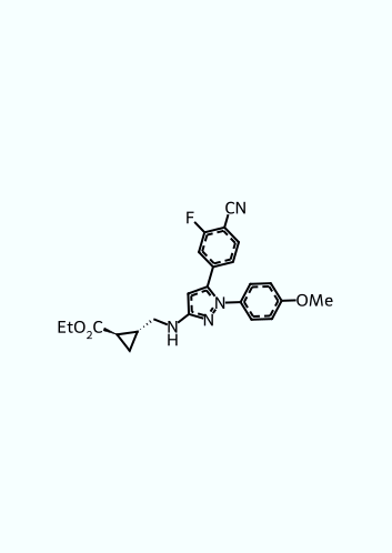 CCOC(=O)[C@@H]1C[C@H]1CNc1cc(-c2ccc(C#N)c(F)c2)n(-c2ccc(OC)cc2)n1